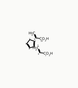 C1=CCC=C1.C=CC(=O)O.C=CC(=O)O